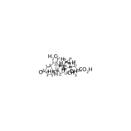 C=C[C@@H]1CC2=CC(=O)CC[C@@H]2[C@H]2CC[C@@]3(C)[C@@H]([C@H]4C[C@H]4[C@@]3(O)CCC(=O)O)[C@@H]21